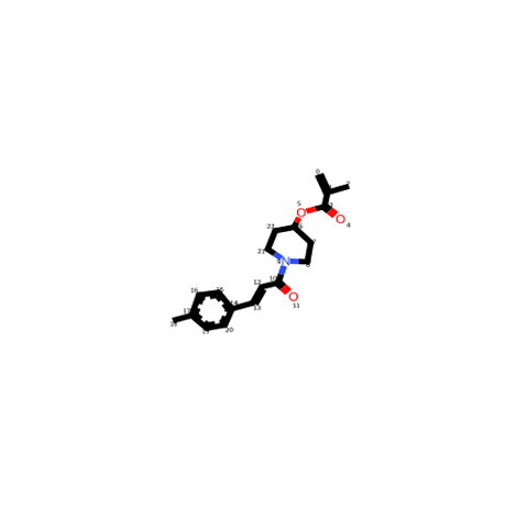 C=C(C)C(=O)OC1CCN(C(=O)/C=C/c2ccc(C)cc2)CC1